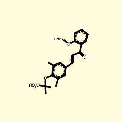 CCCCCCOc1ccccc1C(=O)/C=C/c1cc(C)c(OC(C)(C)C(=O)O)c(C)c1